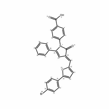 O=C(O)c1ccc(N2C(=O)C(=Cc3ccc(-c4ccc(Br)cc4)o3)C=C2c2ccccc2)cc1